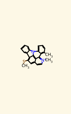 CSc1cc2cc[n+](C)c3c4c(C)cccc4n4c5ccccc5c1c4c23